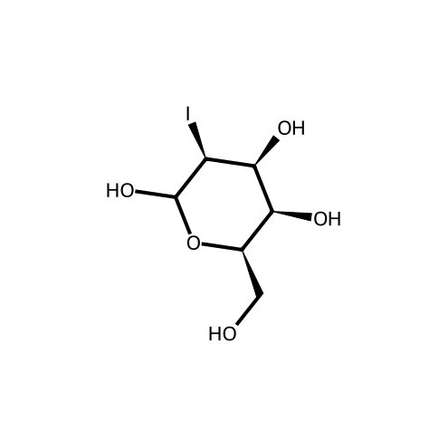 OC[C@H]1OC(O)[C@@H](I)[C@@H](O)[C@H]1O